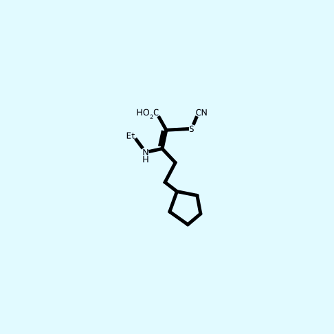 CCN/C(CCC1CCCC1)=C(/SC#N)C(=O)O